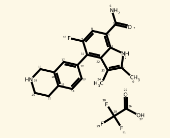 Cc1[nH]c2c(C(N)=O)cc(F)c(-c3ccc4c(c3)CNCC4)c2c1C.O=C(O)C(F)(F)F